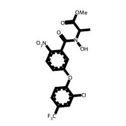 COC(=O)C(C)N(O)C(=O)c1cc(Oc2ccc(C(F)(F)F)cc2Cl)ccc1[N+](=O)[O-]